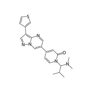 CC(C)C(N(C)C)n1ccc(-c2cnc3c(-c4ccsc4)cnn3c2)cc1=O